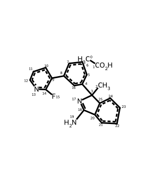 CC(=O)O.CC1(c2cccc(-c3cccnc3F)c2)N=C(N)c2ccccc21